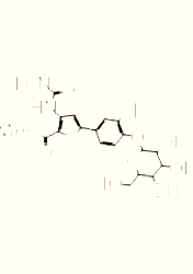 COC(=O)c1sc(-c2ccc(OC3OC(CO)C(O)C(O)C3O)c(Cl)c2)cc1NC(N)=O